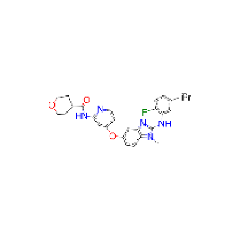 CC(C)c1ccc(F)c(Nc2nc3cc(Oc4ccnc(NC(=O)C5CCOCC5)c4)ccc3n2C)c1